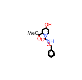 COC(=O)C1CC(O)CCN1C(=O)NOCc1ccccc1